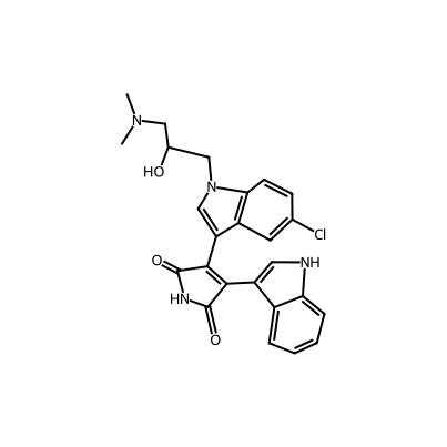 CN(C)CC(O)Cn1cc(C2=C(c3c[nH]c4ccccc34)C(=O)NC2=O)c2cc(Cl)ccc21